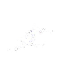 CCN(CC)c1ccc(/N=N/c2nc(N3CCOCC3)c(/C=C(\C#N)N3C(=O)c4ccc(S(=O)(=O)O)cc4C3=O)s2)c(Nc2nc(Nc3cc(N(CC)CC)ccc3/N=N/c3nc(N4CCOCC4)c(/C=C(\C#N)N4C(=O)c5ccc(S(=O)(=O)O)cc5C4=O)s3)nc(SCCS(=O)(=O)O)n2)c1